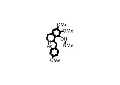 CNC.COc1ccc(CC2c3c(cc(OC)c(OC)c3O)CCN2C(C)=O)cc1